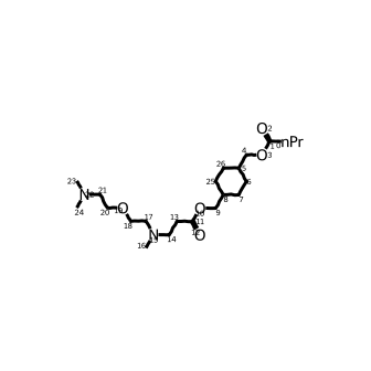 CCCC(=O)OCC1CCC(COC(=O)CCN(C)CCOCCN(C)C)CC1